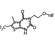 CCCCOCCn1c(=O)[nH]c2sc(C(=O)OCC)c(C)c2c1=O